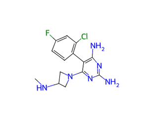 CNC1CN(c2nc(N)nc(N)c2-c2ccc(F)cc2Cl)C1